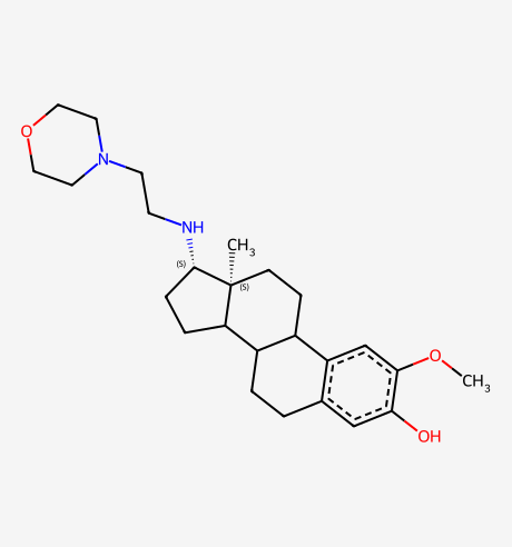 COc1cc2c(cc1O)CCC1C2CC[C@@]2(C)C1CC[C@@H]2NCCN1CCOCC1